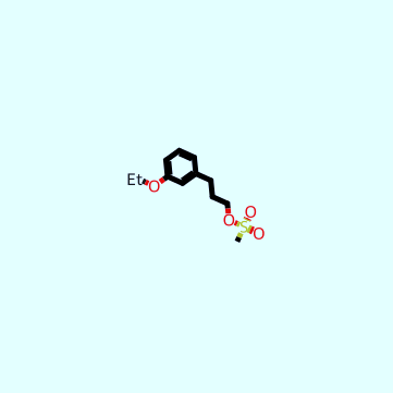 CCOc1cccc(CCCOS(C)(=O)=O)c1